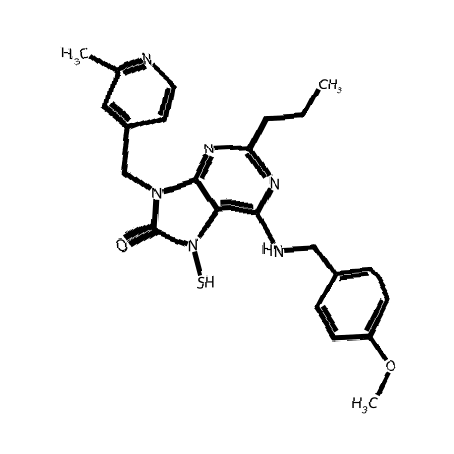 CCCc1nc(NCc2ccc(OC)cc2)c2c(n1)n(Cc1ccnc(C)c1)c(=O)n2S